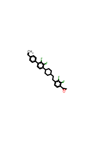 C=Cc1ccc(-c2ccc(C3CCC(CCc4ccc(C5CO5)c(F)c4F)CC3)c(F)c2F)cc1